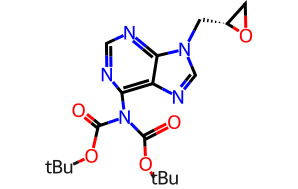 CC(C)(C)OC(=O)N(C(=O)OC(C)(C)C)c1ncnc2c1ncn2C[C@@H]1CO1